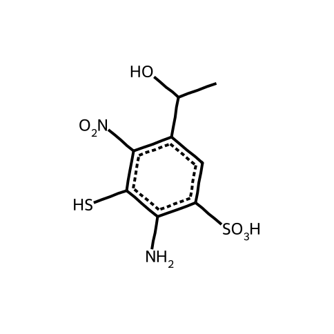 CC(O)c1cc(S(=O)(=O)O)c(N)c(S)c1[N+](=O)[O-]